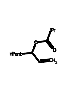 C=CC(CCCCC)OC(=O)C(C)C